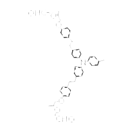 Cc1ccc(N(c2ccc(CCc3ccc(OCC(C)OCC=O)cc3)cc2)c2ccc(CCc3ccc(OCC(C)OCC=O)cc3)cc2)cc1